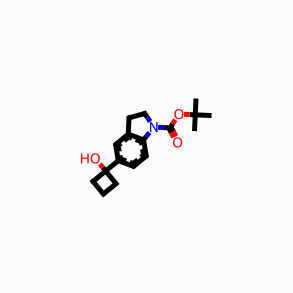 CC(C)(C)OC(=O)N1CCc2cc(C3(O)CCC3)ccc21